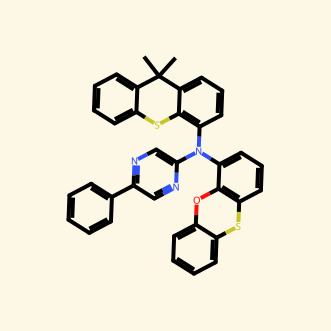 CC1(C)c2ccccc2Sc2c(N(c3cnc(-c4ccccc4)cn3)c3cccc4c3Oc3ccccc3S4)cccc21